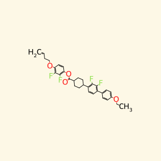 C=CCCOc1ccc(OC(=O)C2CCC(c3ccc(-c4ccc(OCC)cc4)c(F)c3F)CC2)c(F)c1F